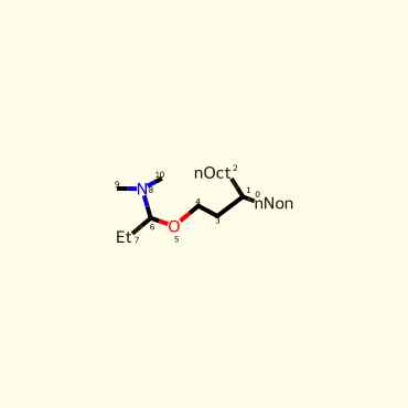 CCCCCCCCCC(CCCCCCCC)CCOC(CC)N(C)C